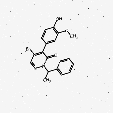 COc1cc(-c2c(Br)cnn(C(C)c3ccccc3)c2=O)ccc1O